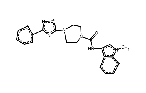 Cn1cc(NC(=O)N2CCN(c3nc(-c4ccccc4)ns3)CC2)c2ccccc21